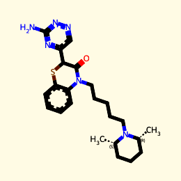 C[C@@H]1CCC[C@H](C)N1CCCCCN1C(=O)C(c2cnnc(N)n2)Sc2ccccc21